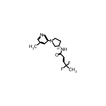 Cc1cncc(N2CC[C@H](NC(=O)C=CC(C)(F)F)C2)c1